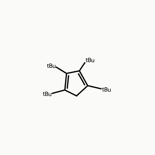 CC(C)(C)C1=C(C(C)(C)C)C(C(C)(C)C)=C(C(C)(C)C)C1